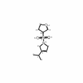 CC(C)C1=CCN(S(=O)(=O)C2CCOC2)C1